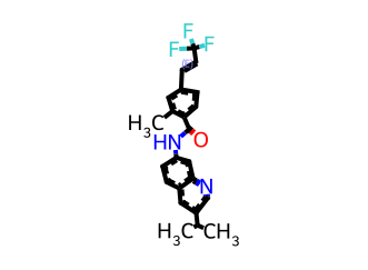 Cc1cc(/C=C/C(F)(F)F)ccc1C(=O)Nc1ccc2cc(C(C)C)cnc2c1